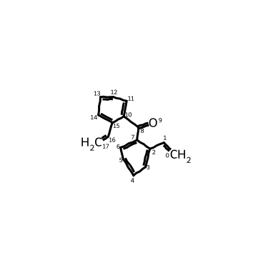 C=Cc1ccccc1C(=O)c1ccccc1C=C